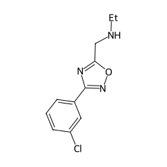 CCNCc1nc(-c2cccc(Cl)c2)no1